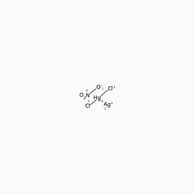 O=[N+]([O-])[O-].[Ag+].[Cl][Hg][Cl]